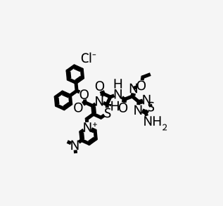 CCON=C(C(=O)NC1C(=O)N2C(C(=O)OC(c3ccccc3)c3ccccc3)=C(C[n+]3cccc(N(C)C)c3)CS[C@@H]12)c1nsc(N)n1.[Cl-]